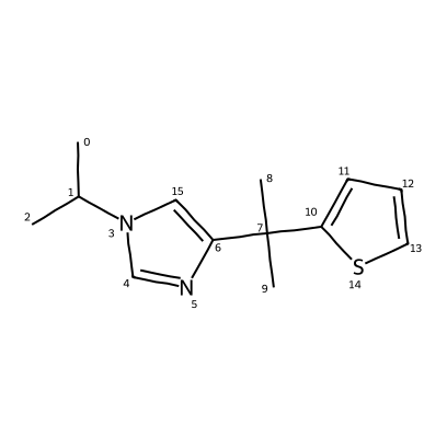 CC(C)n1cnc(C(C)(C)c2cccs2)c1